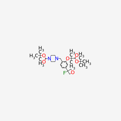 CC(C)(C)OC(=O)N1CCN(Cc2ccc(C3(F)COC3)cc2OC(C)(C)C(=O)OC(C)(C)C)CC1